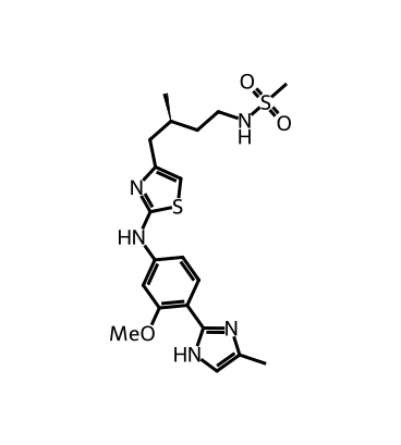 COc1cc(Nc2nc(C[C@@H](C)CCNS(C)(=O)=O)cs2)ccc1-c1nc(C)c[nH]1